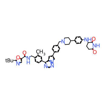 Cc1cc(-c2ncnn3cc(-c4ccc(CN5CCC(c6ccc(NC7CCC(=O)NC7=O)cc6)CC5)cc4)cc23)ccc1CNC(=O)c1cnc(C(C)(C)C)o1